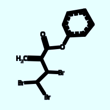 C=C(C(=O)Oc1ccccc1)C(Br)C(Br)Br